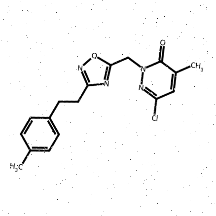 Cc1ccc(CCc2noc(Cn3nc(Cl)cc(C)c3=O)n2)cc1